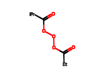 CCC(=O)OOOC(=O)C(C)C